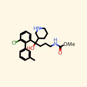 COC(=O)NCCCC(O)(c1cccc(Cl)c1-c1cccc(C)c1)C1CCCNC1